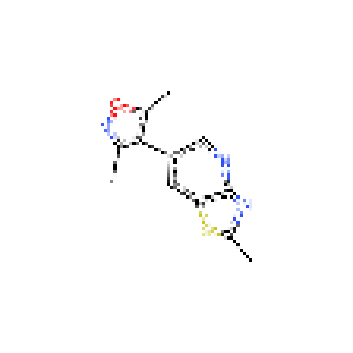 Cc1nc2ncc(-c3c(C)noc3C)cc2s1